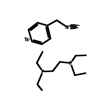 CCP(CC)CCP(CC)CC.[C-]#[N+]Cc1ccccc1.[Tc]